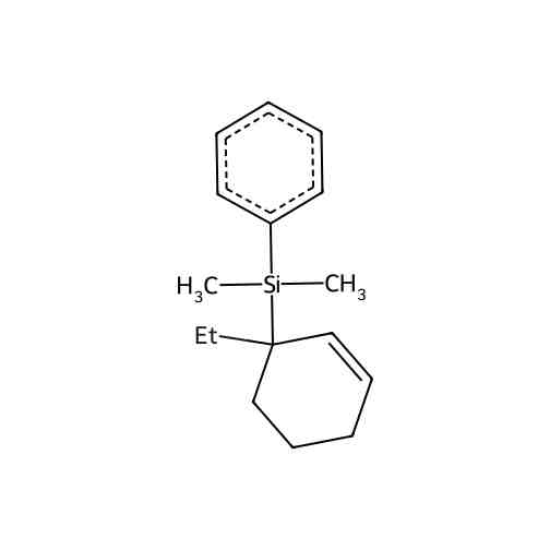 CCC1([Si](C)(C)c2ccccc2)C=CCCC1